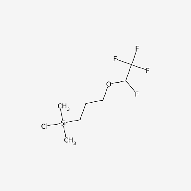 C[Si](C)(Cl)CCCOC(F)C(F)(F)F